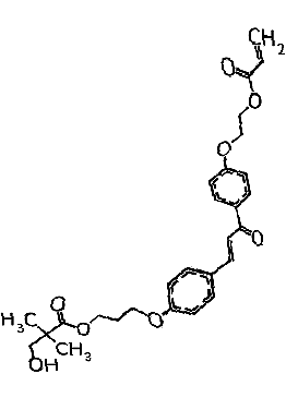 C=CC(=O)OCCOc1ccc(C(=O)/C=C/c2ccc(OCCCOC(=O)C(C)(C)CO)cc2)cc1